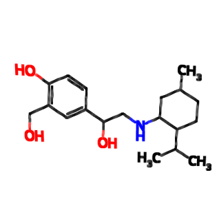 CC1CCC(C(C)C)C(NCC(O)c2ccc(O)c(CO)c2)C1